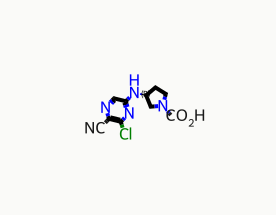 N#Cc1ncc(N[C@@H]2CCN(C(=O)O)C2)nc1Cl